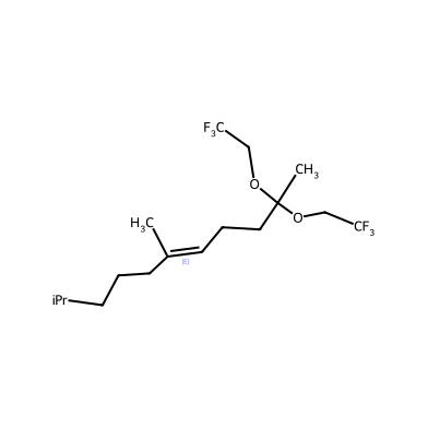 C/C(=C\CCC(C)(OCC(F)(F)F)OCC(F)(F)F)CCCC(C)C